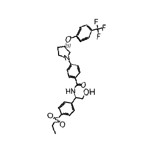 CCS(=O)(=O)c1ccc(C(CO)NC(=O)c2ccc(N3CC[C@H](Oc4ccc(C(F)(F)F)cc4)C3)cc2)cc1